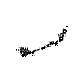 O=C(CCOCCOCCOCCOCCNC(=O)COc1ccc2c(c1)OCC(c1ccc(F)cc1)C2=O)NCC(O)C[n+]1ccn(CC(O)(P(=O)(O)O)P(=O)(O)O)c1